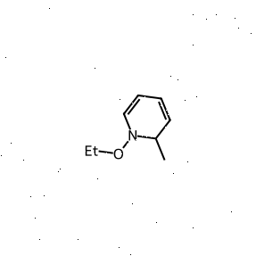 CCON1C=CC=CC1C